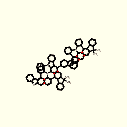 CC1(C)c2ccccc2-c2c(-c3ccccc3N(c3ccccc3-c3cccc4oc5cc(-c6ccc(N(c7ccccc7-c7cccc8c7-c7ccccc7C8(C)C)c7ccccc7-c7cccc8oc9ccccc9c78)c7c6c6ccccc6n7-c6ccccc6)ccc5c34)c3cccc4c3oc3ccccc34)cccc21